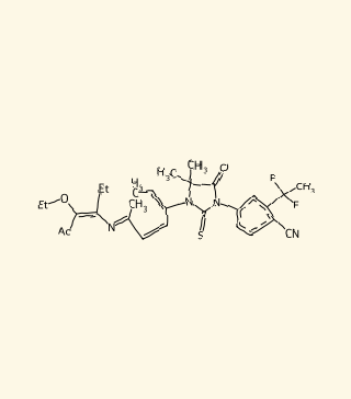 C\C=C(/C=C\C(C)=N\C(CC)=C(\OCC)C(C)=O)N1C(=S)N(c2ccc(C#N)c(C(C)(F)F)c2)C(=O)C1(C)C